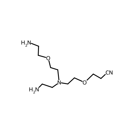 N#CCCOCCN(CCN)CCOCCN